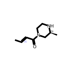 C/C=C/C(=O)N1CCN[C@@H](C)C1